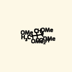 COC(OC)C(C)(C(=O)O)C(C)(OC)OC